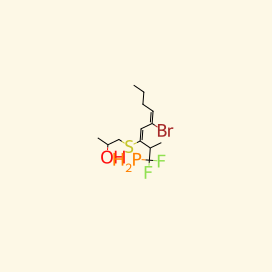 CCC/C=C(Br)\C=C(\SCC(C)O)C(C)C(F)(F)P